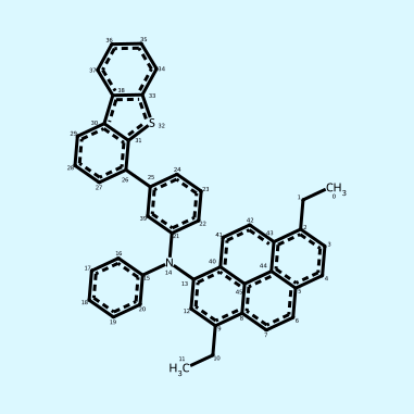 CCc1ccc2ccc3c(CC)cc(N(c4ccccc4)c4cccc(-c5cccc6c5sc5ccccc56)c4)c4ccc1c2c34